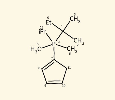 CCC(C)(C)P(C)(C)(C1=CC=CC1)C(C)C